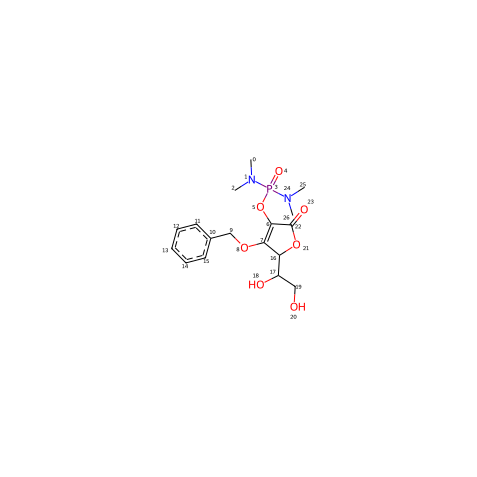 CN(C)P(=O)(OC1=C(OCc2ccccc2)C(C(O)CO)OC1=O)N(C)C